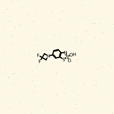 O=S1(O)=Nc2ccc(N3CC(F)(F)C3)cc2S1